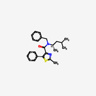 Cc1nc(C(=O)N(Cc2ccccc2)[C@@H](C)CC(C)C)c(-c2ccccc2)s1